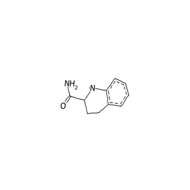 NC(=O)C1CCc2ccccc2[N]1